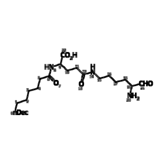 CCCCCCCCCCCCCCCC(=O)NC(CCC(=O)NCCCCC(N)C=O)C(=O)O